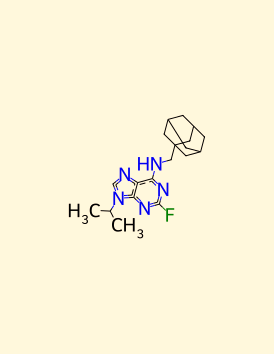 CC(C)n1cnc2c(NCC34CC5CC(CC(C5)C3)C4)nc(F)nc21